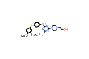 COc1ccc(Sc2ccc(Nc3nc(C)nc(N4CCN(CCO)CC4)n3)cc2)cc1OC